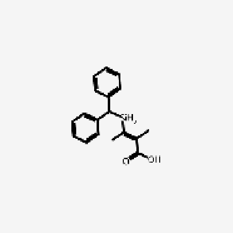 C/C([SiH2]C(c1ccccc1)c1ccccc1)=C(/C)C(=O)O